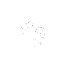 CC(C)NC(=O)c1c[nH]c2ncc(-c3cccc(C(=O)OC(C)(C)C)c3)nc12